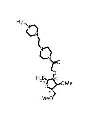 B[C@@H]1O[C@H](COC)C(OC)[C@@H]1OCC(=O)N1CCN(CCN2CCN(C)CC2)CC1